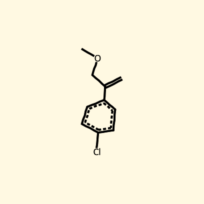 C=C(COC)c1ccc(Cl)cc1